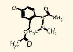 CC(=O)OCc1cc(Cl)ccc1N(C(N)=O)N(C)C